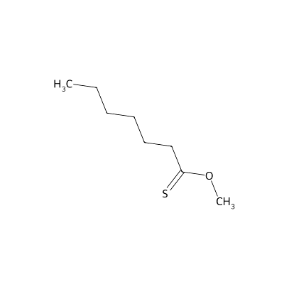 CCCCCCC(=S)OC